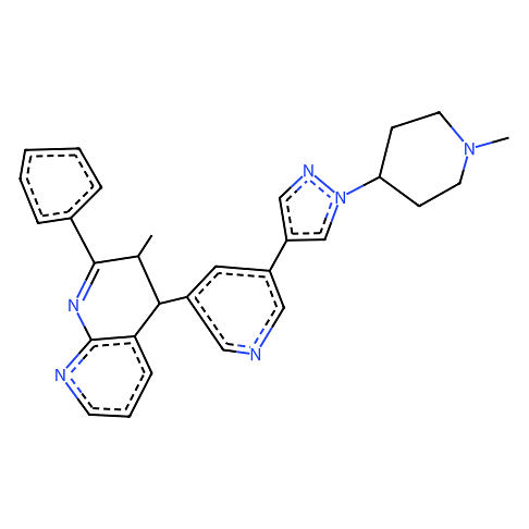 CC1C(c2ccccc2)=Nc2ncccc2C1c1cncc(-c2cnn(C3CCN(C)CC3)c2)c1